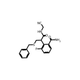 N#CCNC(=O)C(CSCc1ccccc1)c1c(F)cccc1C(N)=O